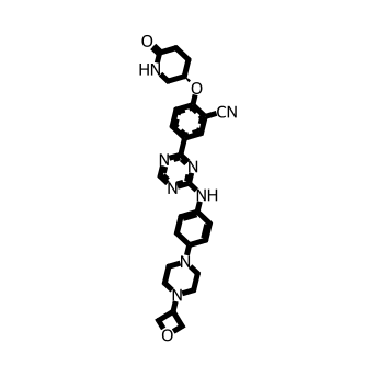 N#Cc1cc(-c2ncnc(NC3=CCC(N4CCN(C5COC5)CC4)C=C3)n2)ccc1O[C@H]1CCC(=O)NC1